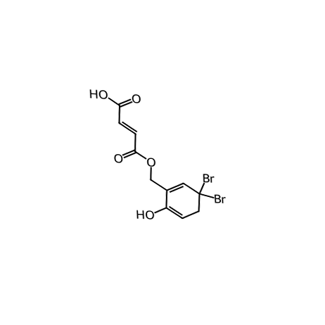 O=C(O)C=CC(=O)OCC1=CC(Br)(Br)CC=C1O